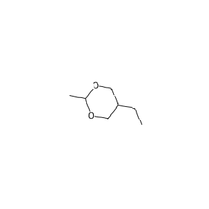 CC[C]1COC(C)OC1